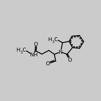 CNC(=O)CCC(C=O)N1C(=O)c2ccccc2C1C